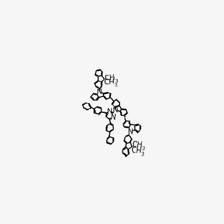 CC1(C)c2ccccc2-c2ccc(-n3c4ccccc4c4cc(-c5ccc6c7ccc(-c8ccc9c(c8)c8ccccc8n9-c8ccc9c(c8)C(C)(C)c8ccccc8-9)cc7n(-c7nc(-c8ccc(-c9ccccc9)cc8)cc(-c8ccc(-c9ccccc9)cc8)n7)c6c5)ccc43)cc21